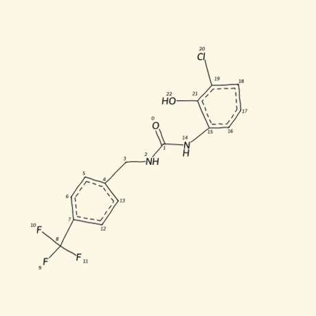 O=C(NCc1ccc(C(F)(F)F)cc1)Nc1cccc(Cl)c1O